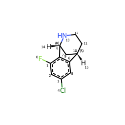 Fc1cc(Cl)cc2c1[C@H]1C[C@@H]2CCN1